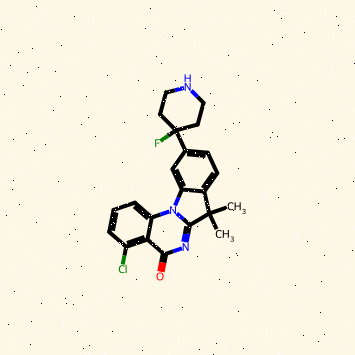 CC1(C)c2ccc(C3(F)CCNCC3)cc2-n2c1nc(=O)c1c(Cl)cccc12